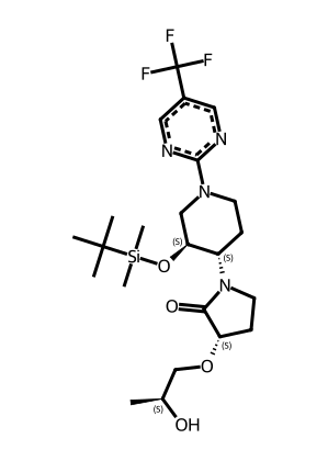 C[C@H](O)CO[C@H]1CCN([C@H]2CCN(c3ncc(C(F)(F)F)cn3)C[C@@H]2O[Si](C)(C)C(C)(C)C)C1=O